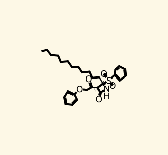 CCCCCCCCCCCC[C@@]1(S(=O)(=O)c2ccccc2)NC(=O)[C@H]1C(=O)COc1ccccc1